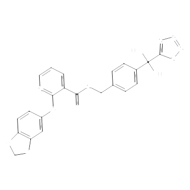 CC(C)(c1ccc(CNC(=O)c2cccnc2Oc2ccc3c(c2)OCO3)cc1)c1nnn[nH]1